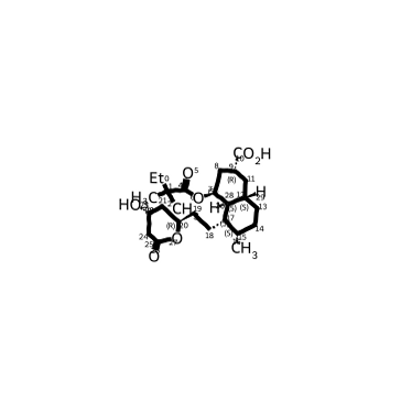 CCC(C)(C)C(=O)O[C@H]1C[C@H](C(=O)O)C[C@@H]2CC[C@H](C)[C@H](CC[C@@H]3C[C@@H](O)CC(=O)O3)[C@H]21